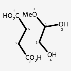 COC(O)CO.O=C(O)CCC(=O)O